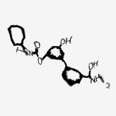 NC(O)c1cccc(-c2cc(O)cc(OC(=O)NC3CCCCC3)c2)c1